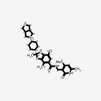 CSc1cc(C)[nH]c(=O)c1CNC(=O)c1cc(Cl)c2c(c1C)OC(C)([C@H]1CC[C@@H](N3CC4COCC4C3)CC1)O2